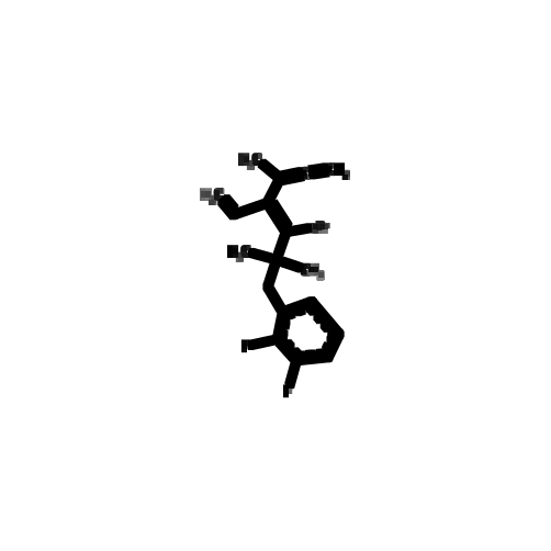 C=C=C(C)/C(C=C)=C(\CCC)C(C)(C)Cc1cccc(F)c1F